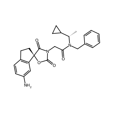 C[C@@H](C1CC1)N(Cc1ccccc1)C(=O)CN1C(=O)O[C@@]2(CCc3ccc(N)cc32)C1=O